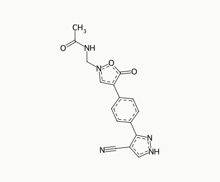 CC(=O)NCn1cc(-c2ccc(-c3n[nH]cc3C#N)cc2)c(=O)o1